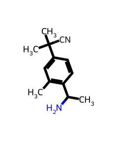 Cc1cc(C(C)(C)C#N)ccc1C(C)N